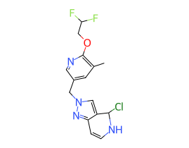 Cc1cc(Cn2cc3c(n2)C=CNC3Cl)cnc1OCC(F)F